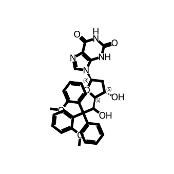 COc1ccccc1C(c1ccccc1)(c1ccccc1OC)C(O)[C@H]1O[C@@H](n2cnc3c(=O)[nH]c(=O)[nH]c32)C[C@@H]1O